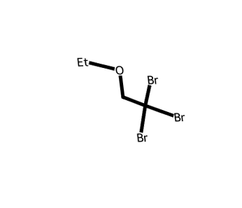 [CH2]COCC(Br)(Br)Br